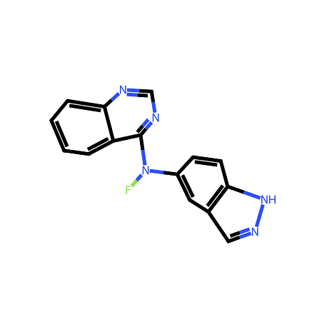 FN(c1ccc2[nH]ncc2c1)c1ncnc2ccccc12